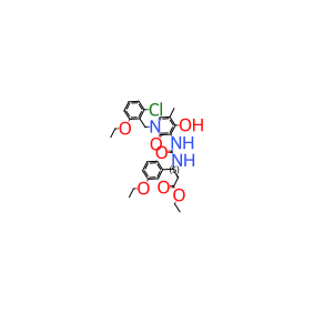 CCOC(=O)C[C@H](NC(=O)Nc1c(O)c(C)cn(Cc2c(Cl)cccc2OCC)c1=O)c1cccc(OCC)c1